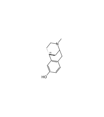 CN1CC[C@@]23CCCCC2C1Cc1ccc(O)cc13